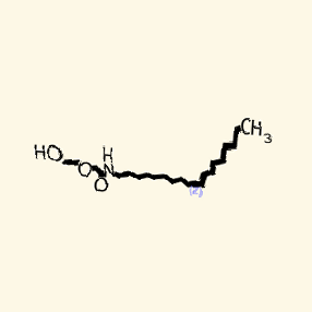 CCCCCCCC/C=C\CCCCCCCCNC(=O)COCCO